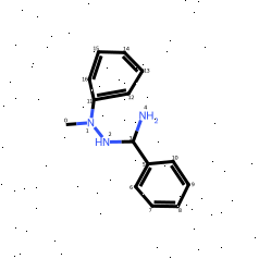 CN(NC(N)c1ccccc1)c1ccccc1